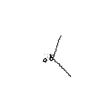 CCCCCCCCCCCCCCCCc1cc2c(c(S(=O)(=O)O)c1CCCCCCCCCCCCCCCC)Sc1ccccc1S2